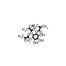 C=C(C)C(=O)O[C@H]1[C@H](OC(=O)C(=C)C)[C@@H](O)[C@H](O)[C@H](O)[C@@H]1OC(=O)C(=C)C